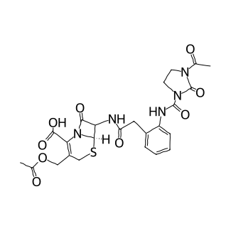 CC(=O)OCC1=C(C(=O)O)N2C(=O)C(NC(=O)Cc3ccccc3NC(=O)N3CCN(C(C)=O)C3=O)[C@H]2SC1